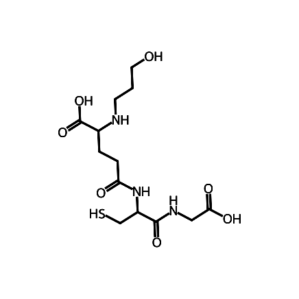 O=C(O)CNC(=O)C(CS)NC(=O)CCC(NCCCO)C(=O)O